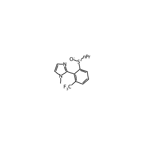 CCC[S+]([O-])c1cccc(C(F)(F)F)c1-c1nccn1C